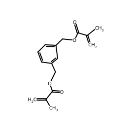 C=C(C)C(=O)OCc1cccc(COC(=O)C(=C)C)c1